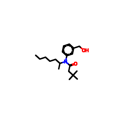 CCCCCC(C)N(C(=O)CC(C)(C)C)c1cccc(CO)c1